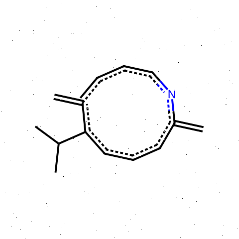 C=c1cccc(C(C)C)c(=C)cccn1